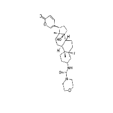 C[C@]12CCC(NC(=O)N3CCOCC3)C[C@H]1CC[C@@H]1[C@@H]2CC[C@]2(C)[C@@H](c3ccc(=O)oc3)CC[C@]12O